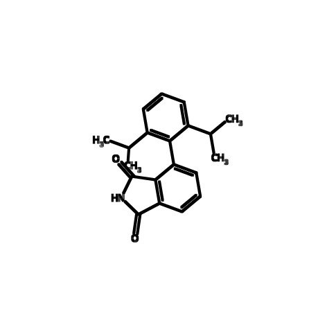 CC(C)c1cccc(C(C)C)c1-c1cccc2c1C(=O)NC2=O